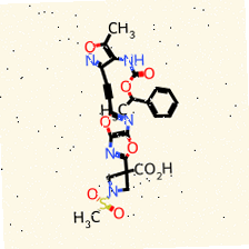 Cc1onc(C#Cc2nc3oc(C4(C(=O)O)CN(S(C)(=O)=O)C4)nc3o2)c1NC(=O)OC(C)c1ccccc1